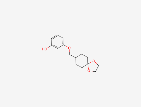 Oc1cccc(OCC2CCC3(CC2)OCCO3)c1